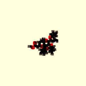 C/C=C/C(O[Si](C)(C)C(C)(C)C)[C@@H]1O[C@H]2CCC(CC(=O)OC)O[C@@H]2C(O[Si](C)(C)C(C)(C)C)C1O[Si](C)(C)C(C)(C)C